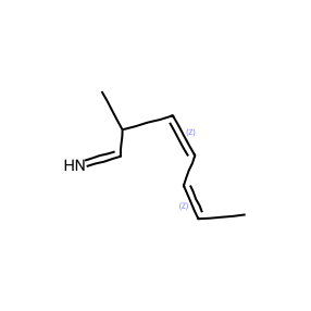 C/C=C\C=C/C(C)C=N